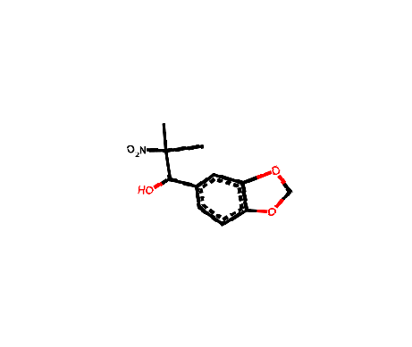 CC(C)(C(O)c1ccc2c(c1)OCO2)[N+](=O)[O-]